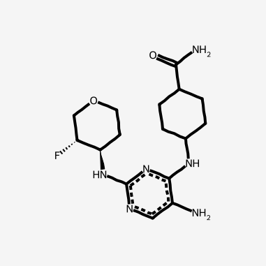 NC(=O)C1CCC(Nc2nc(N[C@@H]3CCOC[C@H]3F)ncc2N)CC1